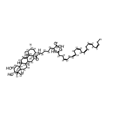 CC/C=C\C/C=C\C/C=C\C/C=C\C/C=C\C/C=C\CCC(=O)NC(CCCCNC(=O)[C@]12CC[C@@H](C)[C@H](C)[C@H]1C1=CC[C@@H]3[C@@]4(C)C[C@@H](O)[C@H](O)C(C)(C)[C@@H]4CC[C@@]3(C)[C@]1(C)CC2)C(=O)O